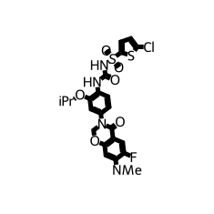 CNc1cc2c(cc1F)C(=O)N(c1ccc(NC(=O)NS(=O)(=O)c3ccc(Cl)s3)c(OC(C)C)c1)CO2